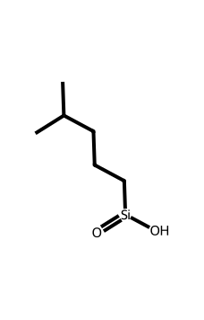 CC(C)CCC[Si](=O)O